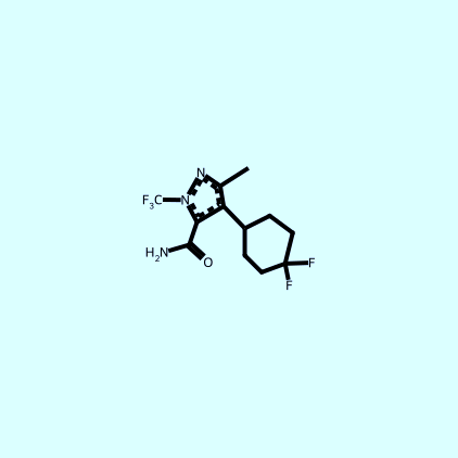 Cc1nn(C(F)(F)F)c(C(N)=O)c1C1CCC(F)(F)CC1